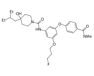 CCC(CC)CC1(O)CCN(C(=O)Nc2cc(OCCCF)cc(Oc3ccc(C(=O)NC)cc3)c2)CC1